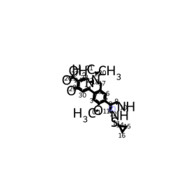 COc1cc2c(cc1/C(C=N)=C/NSC1CC1)CN(C(C)C)n1cc(C(=O)O)c(=O)cc1-2